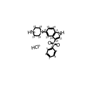 Cl.O=S(=O)(c1ccccc1)c1c[nH]c2ccc(N3CCNCC3)cc12